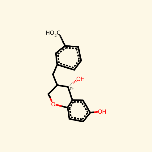 O=C(O)c1cccc(CC2COc3ccc(O)cc3[C@H]2O)c1